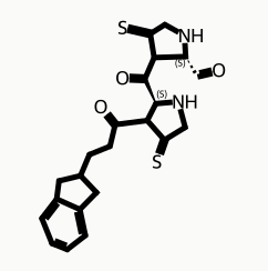 O=C[C@H]1NCC(=S)C1C(=O)[C@H]1NCC(=S)C1C(=O)CCC1Cc2ccccc2C1